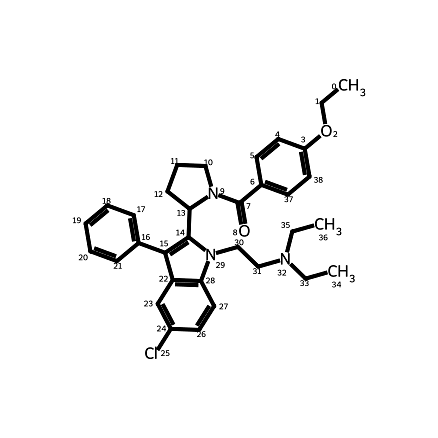 CCOc1ccc(C(=O)N2CCCC2c2c(-c3ccccc3)c3cc(Cl)ccc3n2CCN(CC)CC)cc1